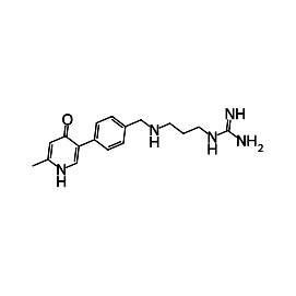 Cc1cc(=O)c(-c2ccc(CNCCCNC(=N)N)cc2)c[nH]1